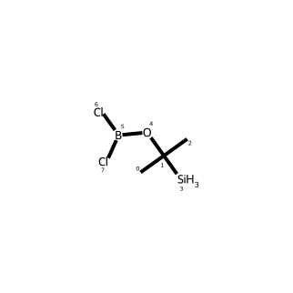 CC(C)([SiH3])OB(Cl)Cl